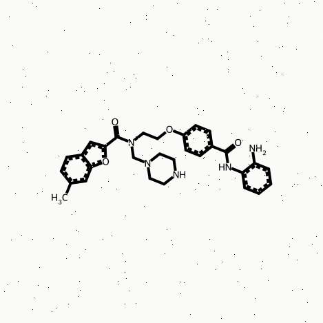 Cc1ccc2cc(C(=O)N(CCOc3ccc(C(=O)Nc4ccccc4N)cc3)CN3CCNCC3)oc2c1